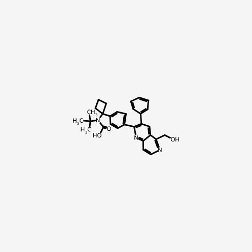 CC(C)(C)N(C(=O)O)C1(c2ccc(-c3nc4ccnc(CO)c4cc3-c3ccccc3)cc2)CCC1